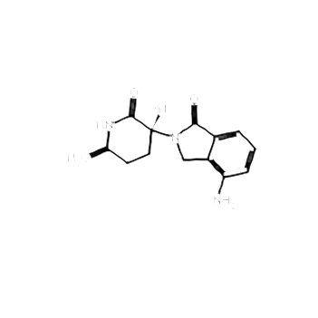 [2H][C@@]1(N2Cc3c(N)cccc3C2=O)CCC(=C)NC1=O